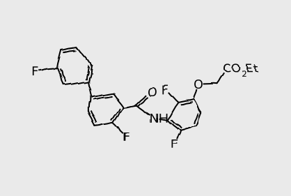 CCOC(=O)COc1ccc(F)c(NC(=O)c2cc(-c3cccc(F)c3)ccc2F)c1F